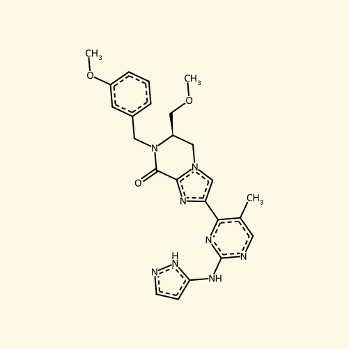 COC[C@H]1Cn2cc(-c3nc(Nc4ccn[nH]4)ncc3C)nc2C(=O)N1Cc1cccc(OC)c1